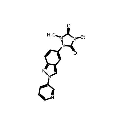 CCn1c(=O)n(C)n(-c2ccc3nn(-c4cccnc4)cc3c2)c1=O